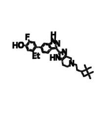 CCc1cc(O)c(F)cc1-c1ccc2c(-c3nc4c([nH]3)CCN(CCC3CC(C)(C)C3(C)C)C4)n[nH]c2c1